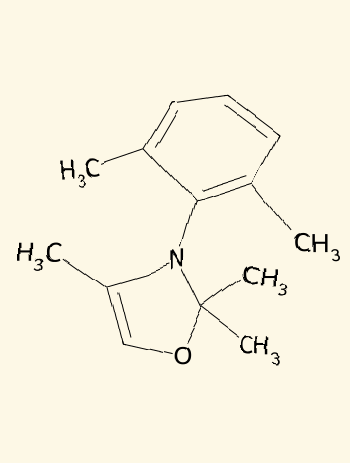 CC1=COC(C)(C)N1c1c(C)cccc1C